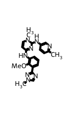 COc1c(NC2=NC(Nc3ccc(C)nc3)N(C)C=C2)cccc1-c1ncn(C)n1